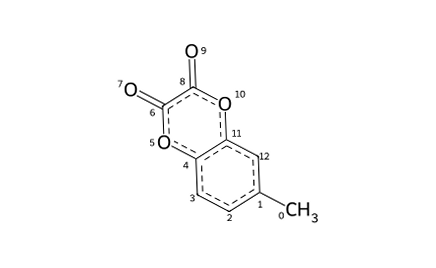 Cc1ccc2oc(=O)c(=O)oc2c1